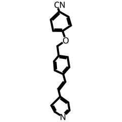 N#Cc1ccc(OCc2ccc(/C=C/c3ccncc3)cc2)cc1